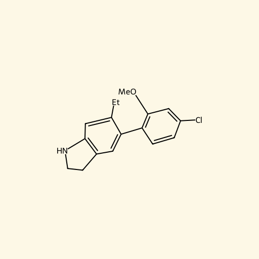 CCc1cc2c(cc1-c1ccc(Cl)cc1OC)CCN2